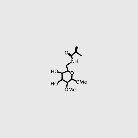 C=C(C)C(=O)NCC1OC(OC)C(OC)C(O)C1O